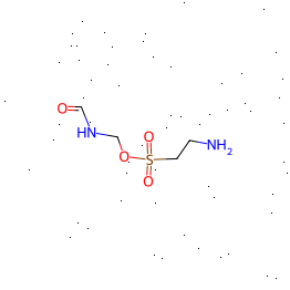 NCCS(=O)(=O)OCNC=O